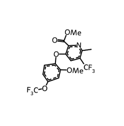 COC(=O)c1nc(C)c(C(F)(F)F)cc1Oc1ccc(OC(F)(F)F)cc1OC